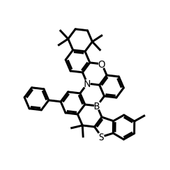 Cc1ccc2sc3c(c2c1)B1c2cccc4c2N(c2ccc5c(c2O4)C(C)(C)CCC5(C)C)c2cc(-c4ccccc4)cc(c21)C3(C)C